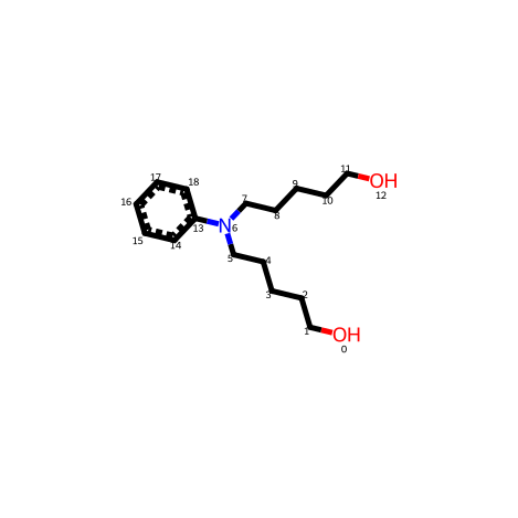 OCCCCCN(CCCCCO)c1ccccc1